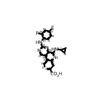 C=C(/C=c1/nc(NC2CC2)c2nc(Nc3ccc(F)cc3F)ncc2/c1=C/C)C(=O)O